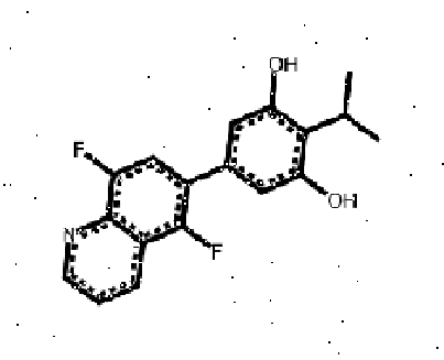 CC(C)c1c(O)cc(-c2cc(F)c3ncccc3c2F)cc1O